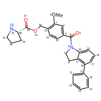 COc1cc(C(=O)N2CCc3c(-c4ccccc4)cccc32)ccc1COC(=O)[C@@H]1CCCN1